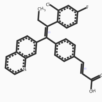 CC/C(=C(/c1ccc(/C=C/C(=O)O)cc1)c1ccc2cccnc2c1)c1ccc(F)cc1Cl